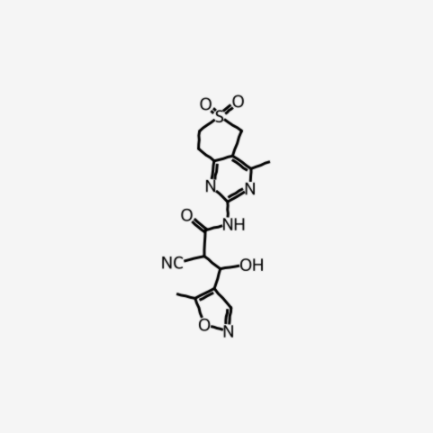 Cc1nc(NC(=O)C(C#N)C(O)c2cnoc2C)nc2c1CS(=O)(=O)CC2